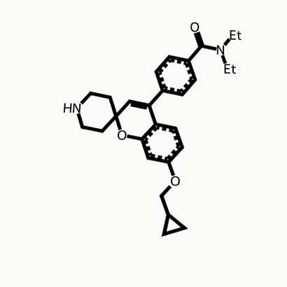 CCN(CC)C(=O)c1ccc(C2=CC3(CCNCC3)Oc3cc(OCC4CC4)ccc32)cc1